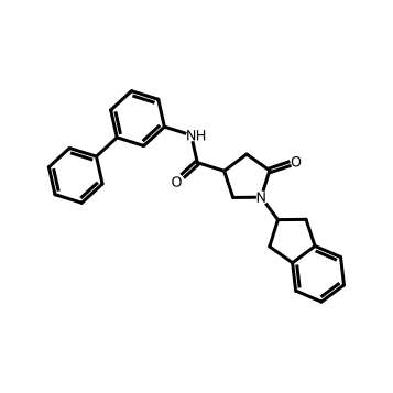 O=C(Nc1cccc(-c2ccccc2)c1)C1CC(=O)N(C2Cc3ccccc3C2)C1